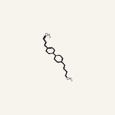 C=CCCC1=CCC(C2CCC(CCCCC)CC2)CC1